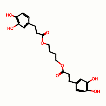 O=C(CCc1ccc(O)c(O)c1)OCCCCOC(=O)CCc1ccc(O)c(O)c1